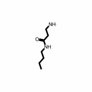 CCCCNC(=O)CC[NH]